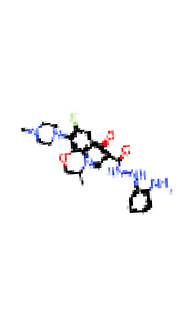 C[C@H]1COc2c(N3CCN(C)CC3)c(F)cc3c(=O)c(C(=O)NNc4ccccc4N)cn1c23